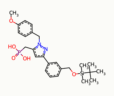 COc1ccc(Cn2nc(-c3cccc(CO[Si](C)(C)C(C)(C)C)c3)cc2CP(=O)(O)O)cc1